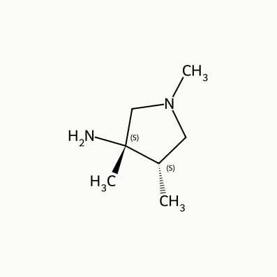 C[C@H]1CN(C)C[C@@]1(C)N